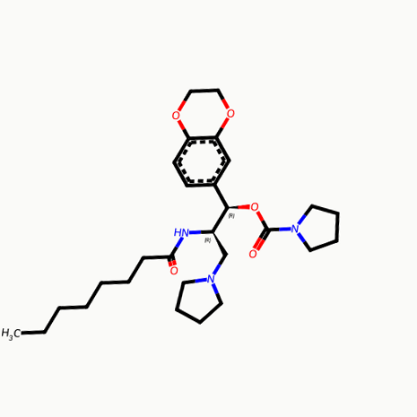 CCCCCCCC(=O)N[C@H](CN1CCCC1)[C@H](OC(=O)N1CCCC1)c1ccc2c(c1)OCCO2